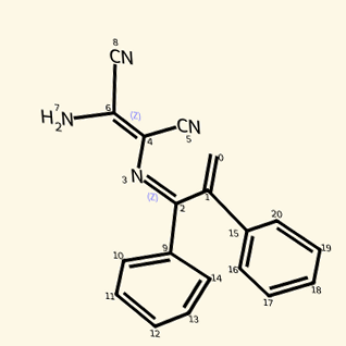 C=C(/C(=N\C(C#N)=C(/N)C#N)c1ccccc1)c1ccccc1